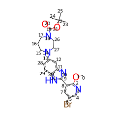 COc1ncc(Br)cc1-c1nc2cc(N3CCCN(C(=O)OC(C)(C)C)CC3)ccc2[nH]1